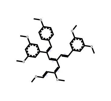 CO\C=C\C(=C/C(/C=C/c1cc(OC)cc(OC)c1)=C/C(=C/c1ccc(OC)cc1)c1cc(OC)cc(OC)c1)OC